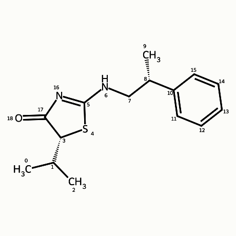 CC(C)[C@H]1SC(NC[C@H](C)c2ccccc2)=NC1=O